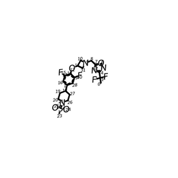 CC(F)(F)c1noc(CN2CC(Oc3c(F)cc(C4CCN(S(C)(=O)=O)CC4)cc3F)C2)n1